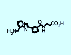 NCc1cccn2cc(-c3cccc(C(=O)NCCC(=O)O)c3)nc12